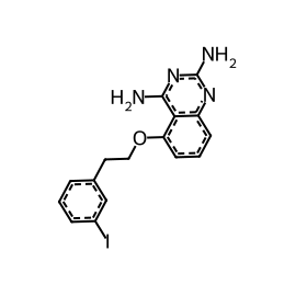 Nc1nc(N)c2c(OCCc3cccc(I)c3)cccc2n1